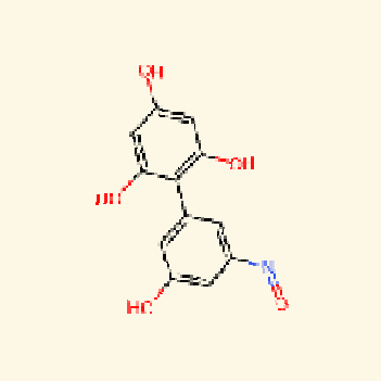 O=Nc1cc(O)cc(-c2c(O)cc(O)cc2O)c1